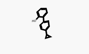 Oc1ccccc1-c1ccc(C2CC2)cc1